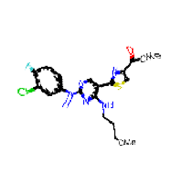 COCCCNc1nc(Nc2ccc(F)c(Cl)c2)ncc1-c1nc(C(=O)OC)cs1